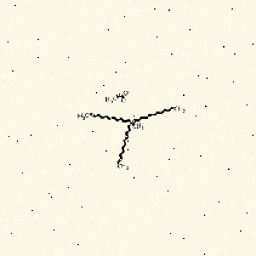 CCCCCCCCCCCC[N+](C)(CCCCCCCCCCCC)CCCCCCCCCCCC.COC(=O)[O-]